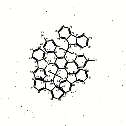 CC(C)(c1c(-c2ccc(F)cc2)c(-n2c3ccccc3c3ccccc32)c(C(C)(C)n2c3ccccc3c3ccccc32)c(-n2c3ccccc3c3ccccc32)c1-c1ccc(F)cc1)n1c2ccccc2c2ccccc21